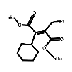 CCCCOC(=O)C(CC(C)C)=C(C(=O)OCCCC)C1CCCCC1